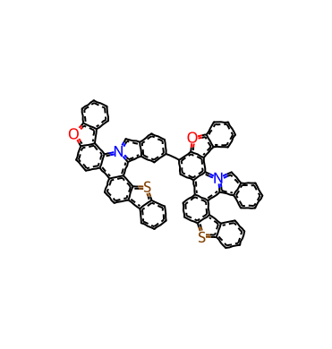 c1ccc2c(c1)cn1c3c(cc(-c4ccc5cn6c7c(ccc8oc9ccccc9c87)c7ccc8c9ccccc9sc8c7c6c5c4)c4oc5ccccc5c43)c3ccc4sc5ccccc5c4c3c21